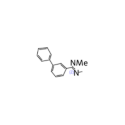 C/N=C(\NC)c1cccc(-c2ccccc2)c1